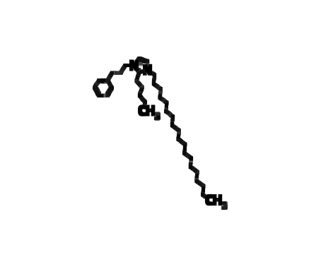 CCCCCCCCCCCCCCCCCCCn1cc[n+](CCCc2ccccc2)c1CCCCC